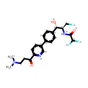 CN(C)CCC(=O)c1ccc(-c2ccc([C@H](O)[C@@H](CF)NC(=O)C(F)F)cc2)cn1